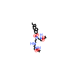 CCC(CCNCCCCN(CCC(CC)NC(=O)OC(C)(C)C)C(=O)OC1CCC2(C)C(=CCC3C2CCC2(C)C(CC)CCC32)C1)NC(=O)OC(C)(C)C